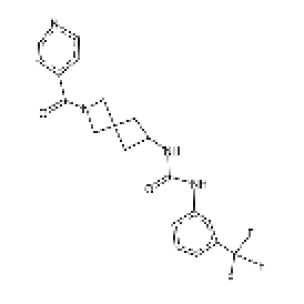 O=C(Nc1cccc(C(F)(F)F)c1)NC1CC2(C1)CN(C(=O)c1ccncc1)C2